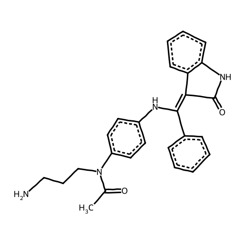 CC(=O)N(CCCN)c1ccc(NC(=C2C(=O)Nc3ccccc32)c2ccccc2)cc1